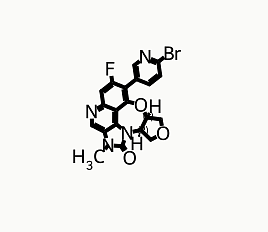 Cn1c(=O)n2c3c4c(c(-c5ccc(Br)nc5)c(F)cc4ncc31)O[C@@H]1COC[C@H]12